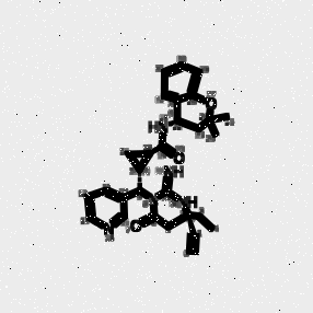 C#C[C@@]1(CC)CC(=O)N(C(c2cccnc2)[C@@H]2C[C@H]2C(=O)N[C@H]2CC(C)(C)Oc3ccccc32)C(=N)N1